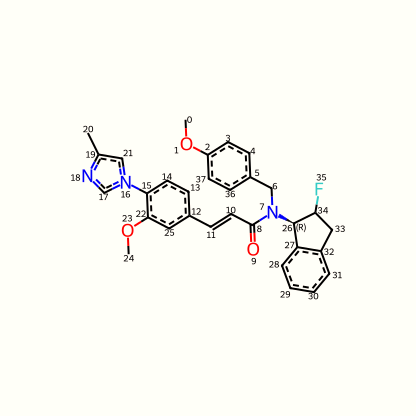 COc1ccc(CN(C(=O)C=Cc2ccc(-n3cnc(C)c3)c(OC)c2)[C@@H]2c3ccccc3CC2F)cc1